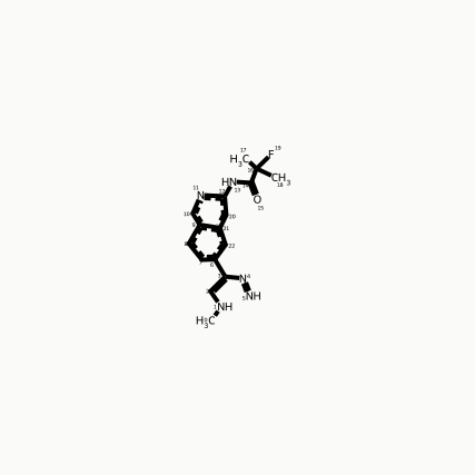 CN/C=C(\N=N)c1ccc2cnc(NC(=O)C(C)(C)F)cc2c1